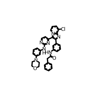 O=C(Cc1ccccc1)Nc1cccc(-c2nc3c(Cl)cccn3c2-c2ccnc(Nc3cccc(N4CCOCC4)c3)n2)c1